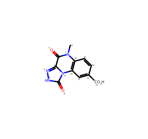 Cn1c(=O)c2n[nH]c(=O)n2c2cc(C(=O)O)ccc21